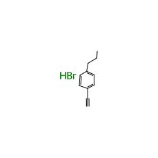 Br.C#Cc1ccc(CCC)cc1